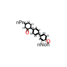 CCCCCCCCCOc1ccc(-c2ccc(C3CCC(CCC)CC3=O)cc2)cc1